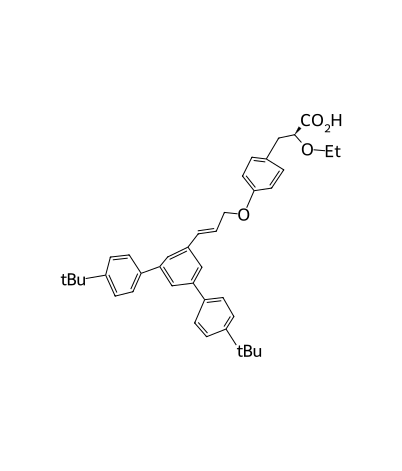 CCO[C@@H](Cc1ccc(OC/C=C/c2cc(-c3ccc(C(C)(C)C)cc3)cc(-c3ccc(C(C)(C)C)cc3)c2)cc1)C(=O)O